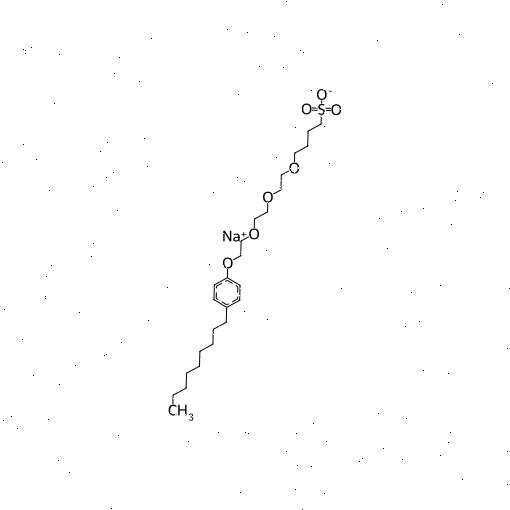 CCCCCCCCCc1ccc(OCCOCCOCCOCCCCS(=O)(=O)[O-])cc1.[Na+]